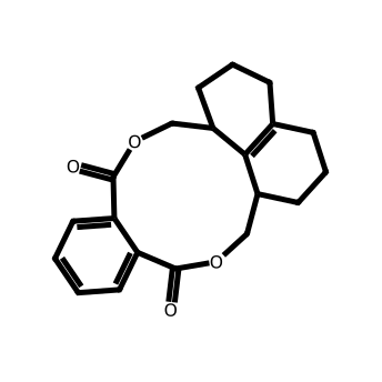 O=C1OCC2CCCC3=C2C(CCC3)COC(=O)c2ccccc21